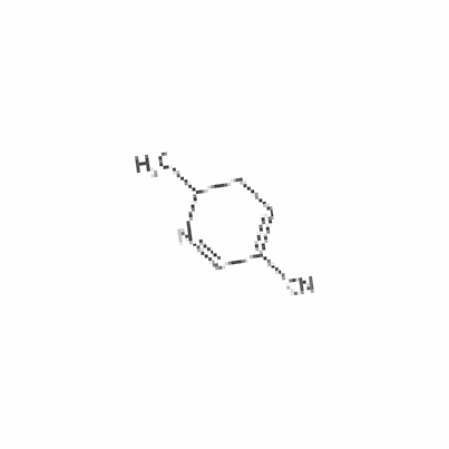 CC1CC=C(C#N)C=N1